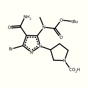 CN(C(=O)OC(C)(C)C)c1c(C(N)=O)c(Br)nn1C1CCN(C(=O)O)C1